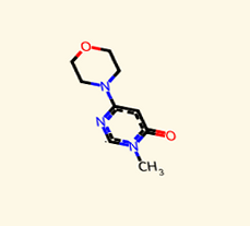 Cn1[c]nc(N2CCOCC2)cc1=O